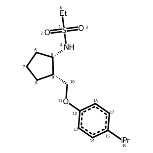 CCS(=O)(=O)N[C@H]1CCC[C@H]1COc1ccc(C(C)C)cc1